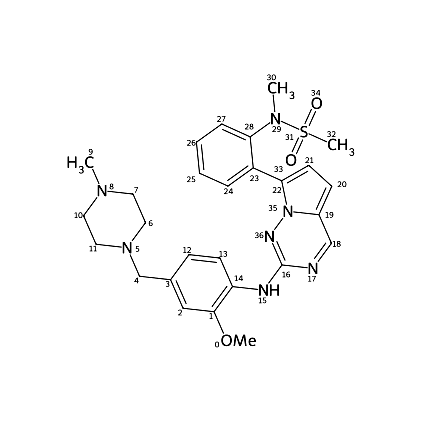 COc1cc(CN2CCN(C)CC2)ccc1Nc1ncc2ccc(-c3ccccc3N(C)S(C)(=O)=O)n2n1